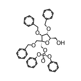 O=P(OC[C@@]1(COCc2ccccc2)O[C@H](CO)[C@@H](OCc2ccccc2)[C@@H]1OCc1ccccc1)(Oc1ccccc1)Oc1ccccc1